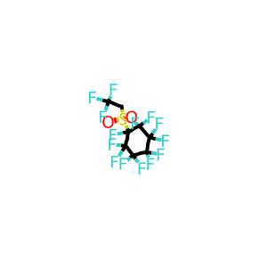 O=S(=O)(CC(F)(F)F)C1(F)C(F)(F)C(F)(F)C(F)(F)C(F)(F)C1(F)F